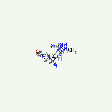 CCNc1nc(Nc2ccc3c(c2)c(C#N)cn3C2CCN([C@@H]3CCOC3)CC2)nn2c(C#N)cnc12